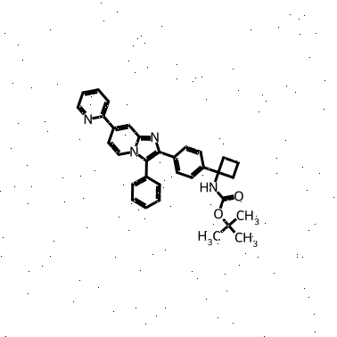 CC(C)(C)OC(=O)NC1(c2ccc(-c3nc4cc(-c5ccccn5)ccn4c3-c3ccccc3)cc2)CCC1